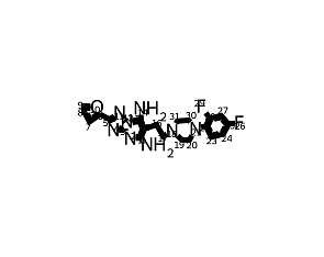 Nc1nc2nc(-c3ccco3)nn2c(N)c1CCN1CCN(c2ccc(F)cc2F)CC1